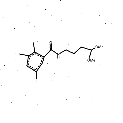 COC(CCCNC(=O)c1cc(I)cc(I)c1I)OC